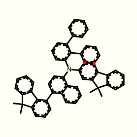 CC1(C)c2ccccc2-c2ccc(N(c3cccc(-c4ccccc4)c3-c3ccccc3)c3ccc(-c4cccc5c4-c4ccccc4C5(C)C)c4ccccc34)cc21